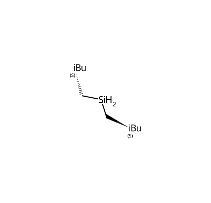 CC[C@H](C)C[SiH2]C[C@@H](C)CC